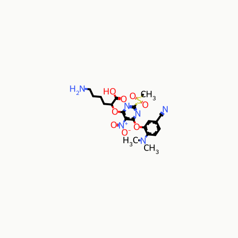 CN(C)c1ccc(C#N)cc1Oc1nc(S(C)(=O)=O)nc(OC(CCCCN)C(=O)O)c1[N+](=O)[O-]